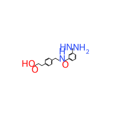 N=C(N)c1cccc(C(=O)NCCc2ccc(CCC(=O)O)cc2)c1